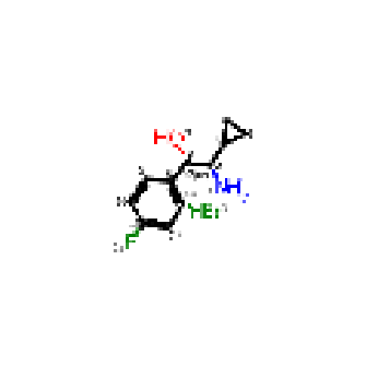 Br.N[C@H](C1CC1)[C@@H](O)c1ccc(F)cc1